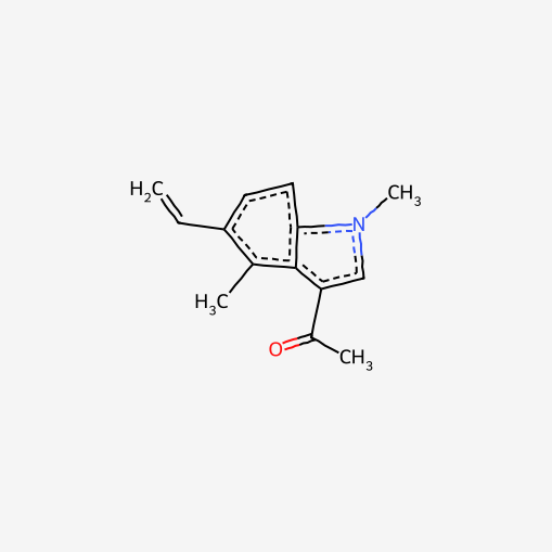 C=Cc1ccc2c(c(C(C)=O)cn2C)c1C